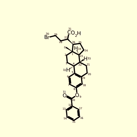 C[C@]12CC[C@@H]3c4ccc(OC(=O)c5ccccc5)cc4CC[C@H]3[C@@H]1CC[C@@H]2C(CCBr)C(=O)O